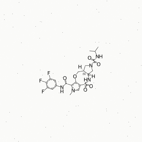 CC(C)NS(=O)(=O)N1C[C@@H]2COc3c(cn(C)c3C(=O)Nc3cc(F)c(F)c(F)c3)S(=O)(=O)N[C@@H]2C1